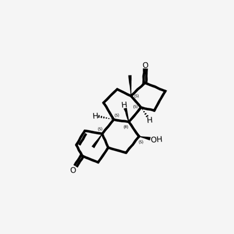 C[C@]12C=CC(=O)CC1C[C@H](O)[C@@H]1[C@@H]2CC[C@]2(C)C(=O)CC[C@@H]12